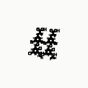 CC(C)Nc1cc(Cl)cc(COc2c(Br)cc(CC(F)C(=O)O)cc2Br)c1Cl.CCNc1cc(Cl)cc(COc2c(Br)cc(CC(F)C(=O)O)cc2Br)c1Cl